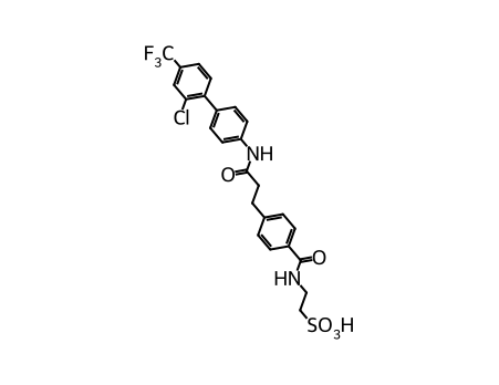 O=C(CCc1ccc(C(=O)NCCS(=O)(=O)O)cc1)Nc1ccc(-c2ccc(C(F)(F)F)cc2Cl)cc1